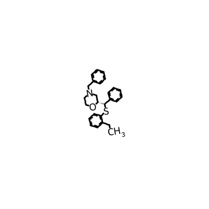 CCc1ccccc1SC(c1ccccc1)[C@H]1CN(Cc2ccccc2)CCO1